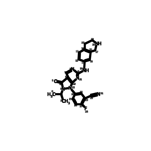 CC(C)n1c(=O)c2cnc(Nc3ccc4c(c3)CNCC4)nc2n1-c1ccc(F)c(C#N)c1